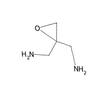 NCC1(CN)CO1